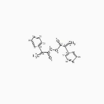 C=C(C(=O)OOC(=O)C(=C)c1ccccc1)c1ccccc1